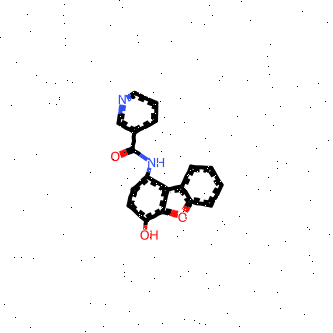 O=C(Nc1ccc(O)c2oc3ccccc3c12)c1cccnc1